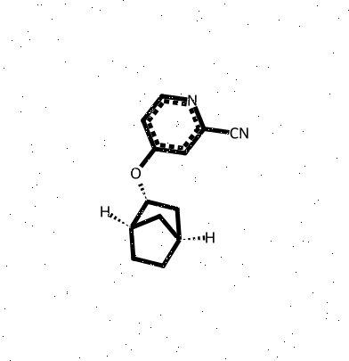 N#Cc1cc(O[C@@H]2C[C@H]3CC[C@@H]2C3)ccn1